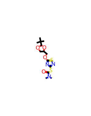 CN(C)C(=O)Sc1nsc(OCC2COC(C(C)(C)C)O2)n1